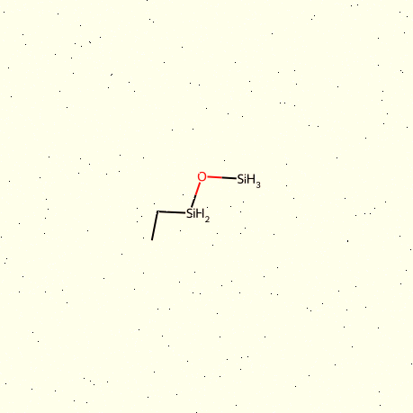 CC[SiH2]O[SiH3]